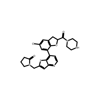 O=C1CCCN1Cc1cc2nccc(-c3cc(Cl)cc4c3OC(C(=O)N3CCNCC3)C4)c2s1